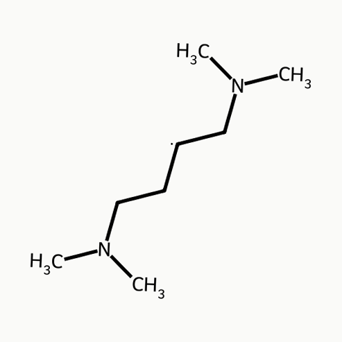 CN(C)C[CH]CCN(C)C